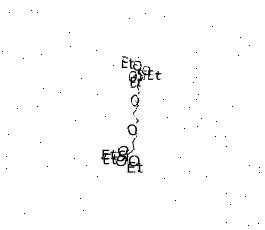 CCO[Si](CCCOCCCOCCC[Si](OCC)(OCC)OCC)(OCC)OCC